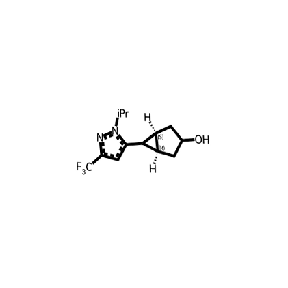 CC(C)n1nc(C(F)(F)F)cc1C1[C@H]2CC(O)C[C@@H]12